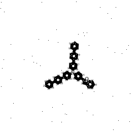 c1ccc(-c2ccc(-c3ccc(N(c4ccc(-c5ccc(-c6ccccc6)cc5)cc4)c4ccc(-c5cc6ccccc6o5)cc4)cc3)cc2)cc1